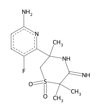 CC1(c2nc(N)ccc2F)CS(=O)(=O)C(C)(C)C(=N)N1